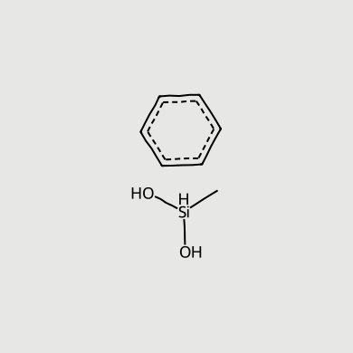 C[SiH](O)O.c1ccccc1